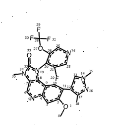 COc1cc2ncc3c(c2cc1-c1cn(C)nc1C)n(-c1c(F)cncc1OC(F)(F)F)c(=O)n3C